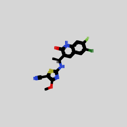 COc1nc(N[C@@H](C)c2cc3cc(Cl)c(F)cc3[nH]c2=O)sc1C#N